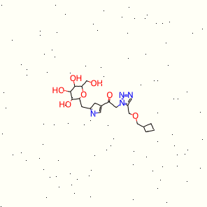 O=C(Cn1nncc1COCC1CCC1)C1=CN=C(CC2OC(CO)C(O)C(O)C2O)C1